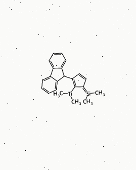 C[Si](C)=C1C=CC(C2c3ccccc3-c3ccccc32)=[C]1[Ti]([CH3])[CH3]